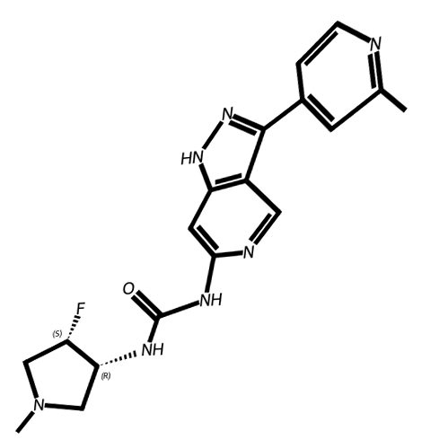 Cc1cc(-c2n[nH]c3cc(NC(=O)N[C@@H]4CN(C)C[C@@H]4F)ncc23)ccn1